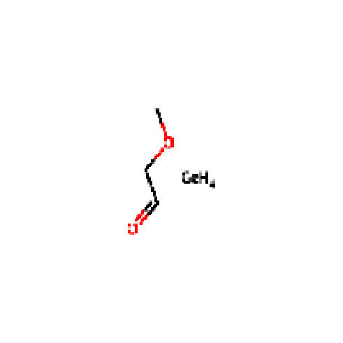 COCC=O.[GeH4]